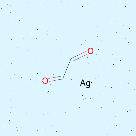 O=CC=O.[Ag]